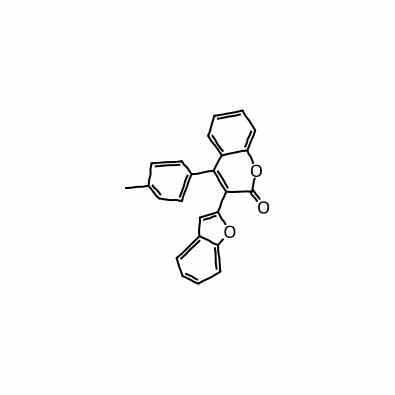 Cc1ccc(-c2c(-c3cc4ccccc4o3)c(=O)oc3ccccc23)cc1